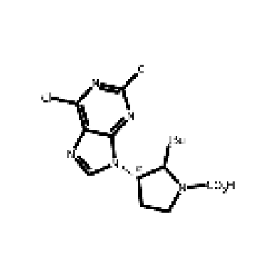 CC(C)(C)C1[C@@H](n2cnc3c(Cl)nc(Cl)nc32)CCN1C(=O)O